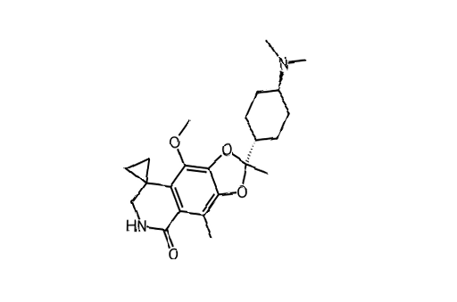 COc1c2c(c(C)c3c1C1(CC1)CNC3=O)OC(C)([C@H]1CC[C@H](N(C)C)CC1)O2